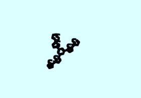 c1csc(-c2ccc(-c3cc(-c4ccc(-c5cccs5)s4)cc(-c4ccc(-c5cccs5)s4)c3)s2)c1